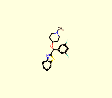 CN1CCC(OC(c2cc(F)cc(F)c2)c2nc3ccccc3s2)CC1